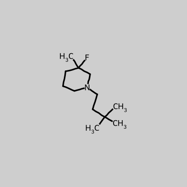 CC(C)(C)CCN1CCCC(C)(F)C1